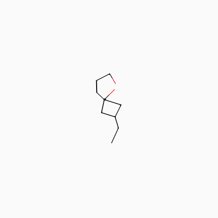 CCC1CC2(CCCO2)C1